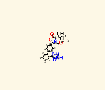 CC(C)[C@H]1C(=O)OC(c2ccc(-c3ccccc3-c3nn[nH]n3)cc2)N1C=O